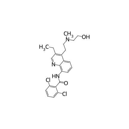 CCc1cnc2c(NC(=O)c3c(Cl)cccc3Cl)cccc2c1CCN(C)CCO